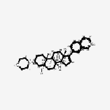 C[C@]12CC[C@@H](N3CCOCC3)C[C@@H]1CC[C@@H]1[C@@H]2CC[C@]2(C)C(c3ccc4ccncc4c3)=CC[C@@H]12